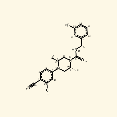 C[C@@H]1CN(c2ccc(C#N)c(Cl)c2)[C@@H](C)CN1C(=O)NCc1cccc(F)n1